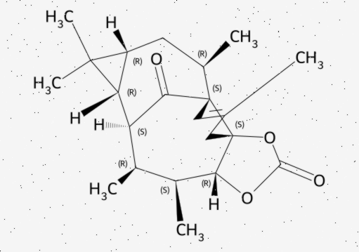 CC1=C[C@]23C(=O)[C@@H]([C@H](C)[C@H](C)[C@H]4OC(=O)O[C@]42C1)[C@H]1[C@@H](C[C@H]3C)C1(C)C